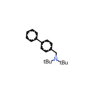 CC(C)(C)N(Cc1ccc(-c2ccccc2)cc1)C(C)(C)C